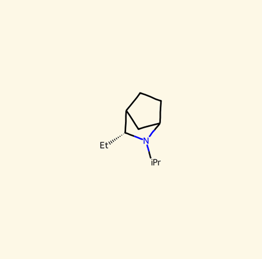 CC[C@@H]1C2CCC(C2)N1C(C)C